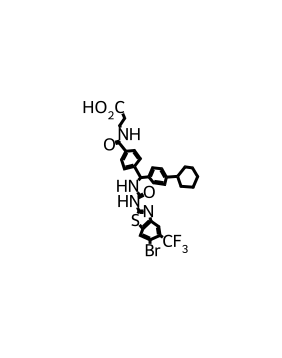 O=C(O)CCNC(=O)c1ccc(C(NC(=O)Nc2nc3cc(C(F)(F)F)c(Br)cc3s2)c2ccc(C3CCCCC3)cc2)cc1